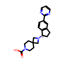 O=C(O)N1CCC2(CC1)CN([C@@H]1CCc3cc(-c4ncccn4)ccc31)C2